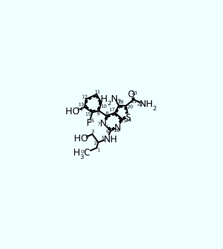 CCC(CO)Nc1nc(-c2cccc(O)c2F)c2c(N)c(C(N)=O)sc2n1